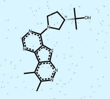 Cc1nnc2sc3c(N4CC[C@H](C(C)(C)O)C4)ncnc3c2c1C